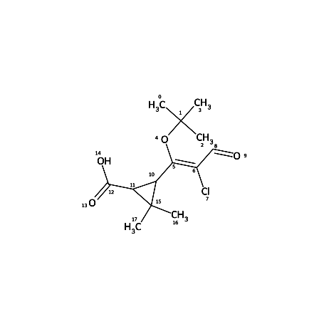 CC(C)(C)OC(=C(Cl)C=O)C1C(C(=O)O)C1(C)C